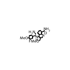 COCc1cnc2c(C(N)=O)cccc2c1N[C@H](CN)c1ccc(OC)c(F)c1